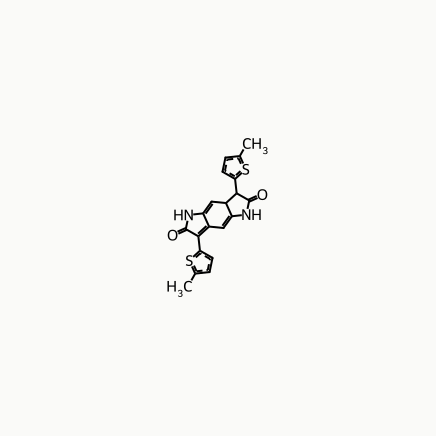 Cc1ccc(C2=C3C=C4NC(=O)C(c5ccc(C)s5)C4C=C3NC2=O)s1